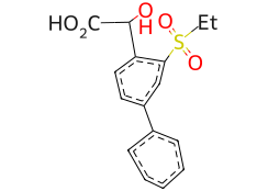 CCS(=O)(=O)c1cc(-c2ccccc2)ccc1C(O)C(=O)O